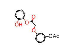 CC(=O)Oc1cccc(OCC(=O)Oc2ccccc2O)c1